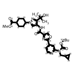 COC(=O)C1CCC(n2cc(NC(=O)c3coc(-c4ccnc(N(CC5CC5)C(=O)OC(C)(C)C)c4)n3)c(C(C)(C)O)n2)CC1